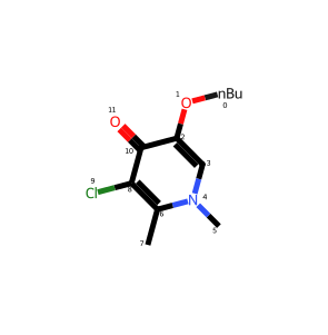 CCCCOc1cn(C)c(C)c(Cl)c1=O